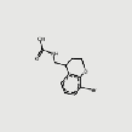 O=C(O)NCC1CCOc2c(Br)cccc21